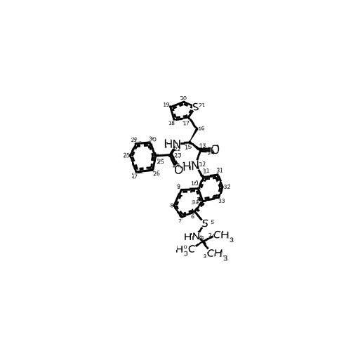 CC(C)(C)NSc1cccc2c(NC(=O)[C@H](Cc3cccs3)NC(=O)c3ccccc3)cccc12